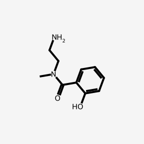 CN(CCN)C(=O)c1ccccc1O